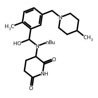 CCCCN(C1CCC(=O)NC1=O)C(O)c1cc(CN2CCC(C)CC2)ccc1C